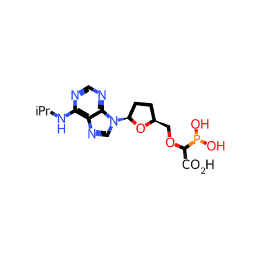 CC(C)Nc1ncnc2c1ncn2[C@H]1CC[C@@H](COC(C(=O)O)P(O)O)O1